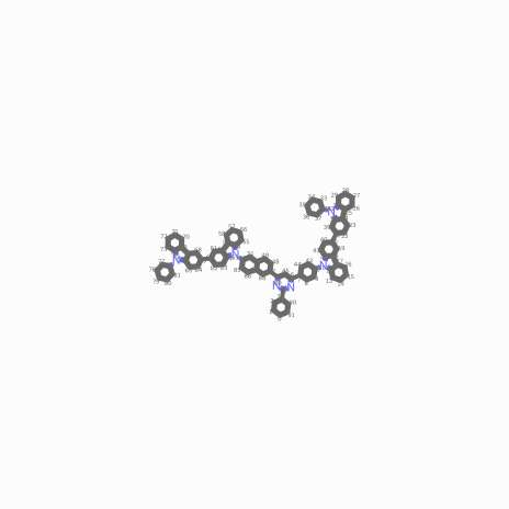 c1ccc(-c2nc(-c3ccc(-n4c5ccccc5c5cc(-c6ccc7c8ccccc8n(-c8ccccc8)c7c6)ccc54)cc3)cc(-c3ccc4cc(-n5c6ccccc6c6cc(-c7ccc8c(c7)c7ccccc7n8-c7ccccc7)ccc65)ccc4c3)n2)cc1